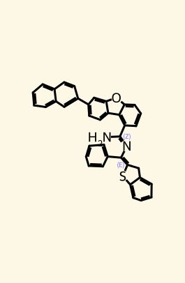 N/C(=N\C(=C1/Cc2ccccc2S1)c1ccccc1)c1cccc2oc3cc(-c4ccc5ccccc5c4)ccc3c12